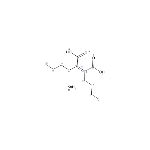 CCCC/C(C(=O)O)=C(\CCCC)C(=O)O.[SnH4]